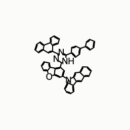 c1ccc(-c2ccc(C3=NC(c4cc5ccccc5c5ccccc45)=NC(c4cc(-n5c6ccccc6c6cc7ccccc7cc65)cc5oc6ccccc6c45)N3)cc2)cc1